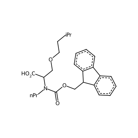 CCCN(C(=O)OCC1c2ccccc2-c2ccccc21)C(COCCC(C)C)C(=O)O